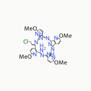 COc1ccc2c(n1)C1=NC/2=N\c2[nH]c(c3ccc(OC)nc23)/N=C(\N)c2nc(OC)ccc2C(=C/CCl)/N=c2\[nH]/c(c3ccc(OC)nc23)=N\1